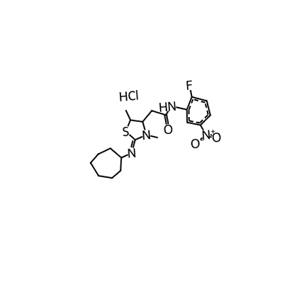 CC1S/C(=N\C2CCCCCC2)N(C)C1CC(=O)Nc1cc([N+](=O)[O-])ccc1F.Cl